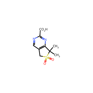 CC1(C)c2nc(C(=O)O)ncc2CS1(=O)=O